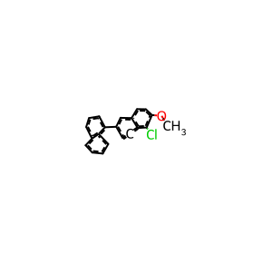 COc1ccc2cc(-c3cccc4ccccc34)ccc2c1Cl